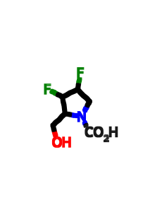 O=C(O)N1CC(F)C(F)C1CO